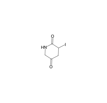 O=C1CNC(=O)C(I)C1